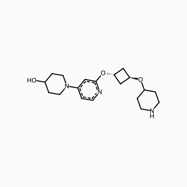 OC1CCN(c2ccnc(O[C@H]3C[C@H](OC4CCNCC4)C3)c2)CC1